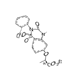 CCOC(=O)[C@@H](C)Oc1ccc2c(c1)N(C)C(=O)N(c1ccccc1Cl)S2(=O)=O